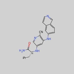 CC(C)C[C@@H](Nc1cnc(C#N)c(Nc2ccc3cnccc3c2)c1)C(N)=O